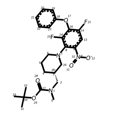 CN(C[C@@H]1CCCN(c2c([N+](=O)[O-])cc(F)c(Oc3ccccc3)c2F)C1)C(=O)OC(C)(C)C